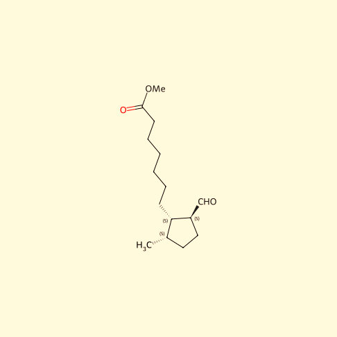 COC(=O)CCCCCC[C@H]1[C@@H](C)CC[C@@H]1C=O